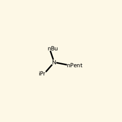 CCCCCN(CCCC)C(C)C